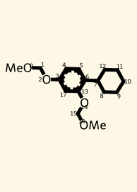 COCOc1ccc(C2CC[CH]CC2)c(OCOC)c1